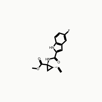 C=C[C@@H]1C[C@]1(NC(=O)c1cc2cc(F)ccc2[nH]1)C(=O)OC